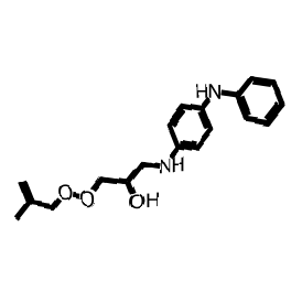 C=C(C)COOCC(O)CNc1ccc(Nc2ccccc2)cc1